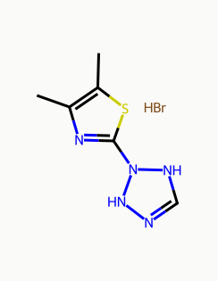 Br.Cc1nc(N2NC=NN2)sc1C